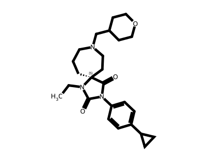 CCN1C(=O)N(c2ccc(C3CC3)cc2)C(=O)[C@@]12CCCN(CC1CCOCC1)CC2